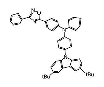 CC(C)(C)c1ccc2c(c1)c1cc(C(C)(C)C)ccc1n2-c1ccc(N(c2ccccc2)c2ccc(-c3nc(-c4ccccc4)no3)cc2)cc1